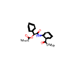 CNC(=O)OC(C(=O)Nc1ccccc1C(=O)OC)c1ccccc1